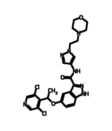 CC(Oc1ccc2[nH]nc(C(=O)Nc3cnn(CCN4CCOCC4)c3)c2c1)c1c(Cl)cncc1Cl